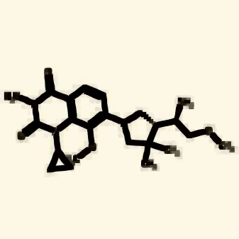 COC[C@H](N)[C@H]1CN(c2ccc3c(=O)n(N)c(=O)n(C4CC4)c3c2OC)CC1(C)C